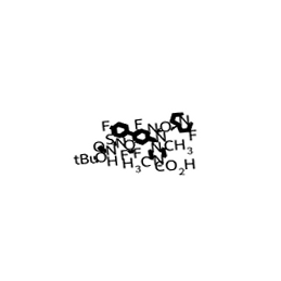 C[C@@H]1CN(c2nc(OC[C@@]34CCCN3C[C@H](F)C4)nc3c(F)c(-c4ccc(F)c5sc(NC(=O)OC(C)(C)C)nc45)c(OC(F)F)cc23)[C@@H](C)CN1C(=O)O